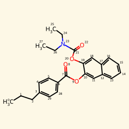 CCCc1ccc(C(=O)Oc2cc3ccccc3cc2OC(=O)N(CC)CC)cc1